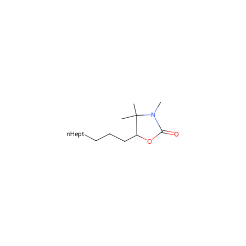 CCCCCCCCCCC1OC(=O)N(C)C1(C)C